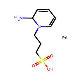 NC1C=CC=CN1CCCS(=O)(=O)O.[Pd]